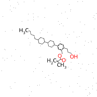 C=C(C)C(=O)OCc1cc(C2CCC(C3CCC(CCCCC)CC3)CC2)ccc1CCCO